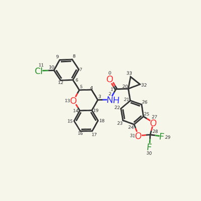 O=C(NC1CC(c2cccc(Cl)c2)Oc2ccccc21)C1(c2ccc3c(c2)OC(F)(F)O3)CC1